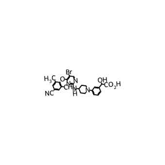 Cc1cc(C#N)cc(C)c1Oc1nc(NC2CCN(c3cccc(C(O)C(=O)O)c3)CC2)ncc1Br